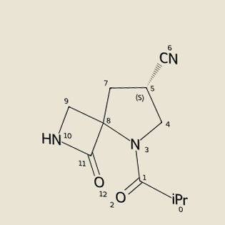 CC(C)C(=O)N1C[C@@H](C#N)CC12CNC2=O